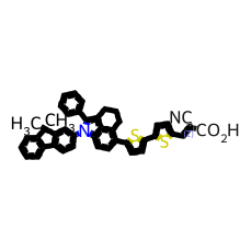 [C-]#[N+]/C(=C\c1ccc(-c2ccc(-c3ccc4c5c3CCCc5c(-c3ccccc3)n4-c3ccc4c(c3)C(C)(C)c3ccccc3-4)s2)s1)C(=O)O